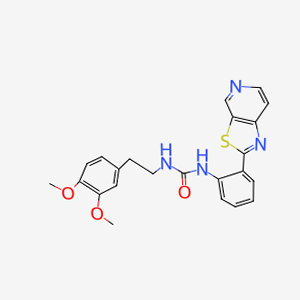 COc1ccc(CCNC(=O)Nc2ccccc2-c2nc3ccncc3s2)cc1OC